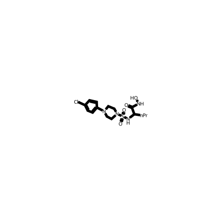 CCCC(NS(=O)(=O)N1CCN(c2ccc(Cl)cc2)CC1)C(=O)NO